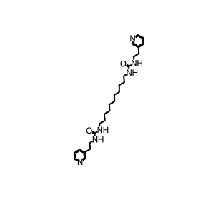 O=C(NCCCCCCCCCCCNC(=O)NCCc1cccnc1)NCCc1cccnc1